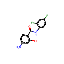 Nc1ccc(C(=O)Nc2ccc(F)cc2F)c(O)c1